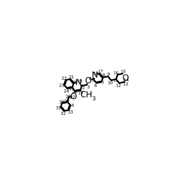 Cc1c(COc2ccc(CCC3CCOCC3)cn2)nc2ccccc2c1OCc1ccccc1